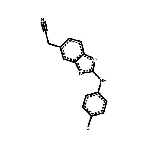 N#CCc1ccc2oc(Nc3ccc(Cl)cc3)nc2c1